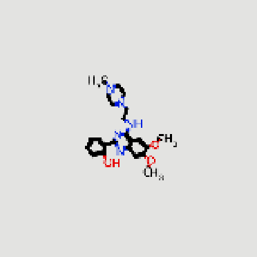 COc1cc2nc(-c3ccccc3O)nc(NCCN3CCN(C)CC3)c2cc1OC